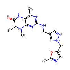 Cc1nc(NCc2cnn(Cc3cnc(C(C)C)o3)c2)nc2c1NC(=O)C(C(C)C)N2C